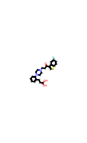 O=C(CCN1CCN(c2ccccc2CCC(O)O)CC1)c1csc2ccc(F)cc12